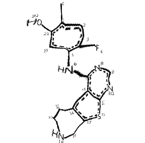 Cc1cc(F)c(Nc2ncnc3sc4c(c23)CCNC4)cc1O